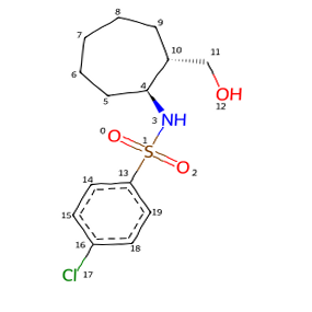 O=S(=O)(N[C@H]1CCCCC[C@@H]1CO)c1ccc(Cl)cc1